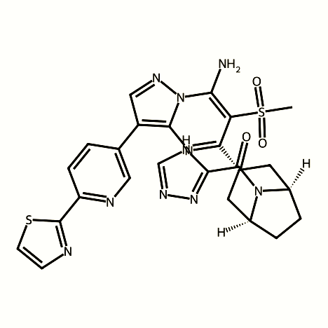 CS(=O)(=O)c1c([C@@H]2C[C@H]3CC[C@@H](C2)N3C(=O)c2nnc[nH]2)nc2c(-c3ccc(-c4nccs4)nc3)cnn2c1N